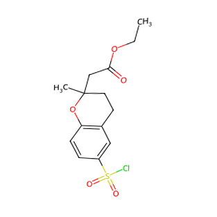 CCOC(=O)CC1(C)CCc2cc(S(=O)(=O)Cl)ccc2O1